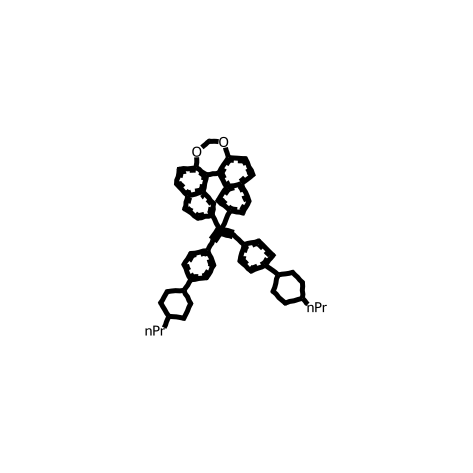 CCCC1CCC(c2ccc(C#Cc3ccc4ccc5c(c4c3)-c3c(ccc4ccc(C#Cc6ccc(C7CCC(CCC)CC7)cc6)cc34)OCO5)cc2)CC1